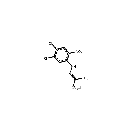 CCOC(=O)C(C)=NNc1cc(Cl)c(Cl)cc1[N+](=O)[O-]